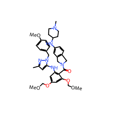 COCOc1cc(Nc2cc(C)nn2Cc2ccc(OC)cc2)c(C(=O)N2Cc3ccc(NC4CCN(C)CC4)cc3C2)c(OCOC)c1